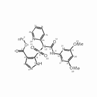 CCCOC(=O)c1cn[nH]c1S(=O)(=O)N(C(=O)Nc1nc(OC)cc(OC)n1)c1ccccn1